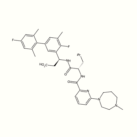 Cc1cc(-c2c(C)cc(F)cc2C)cc([C@H](CC(=O)O)NC(=O)[C@H](CC(C)C)NC(=O)c2cccc(N3CCCN(C)CC3)n2)c1F